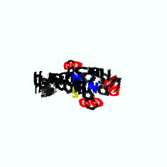 Cc1cc2c3c(c1)N(c1c(C)cc4c(c1C)OCCCO4)c1c(sc4ccc(C(C)(C)C)cc14)B3c1cc3c(cc1N2c1ccc2c(c1)OCCCO2)OCCCO3